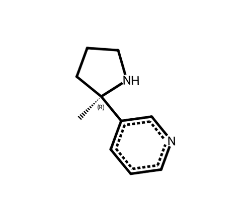 C[C@]1(c2cccnc2)CCCN1